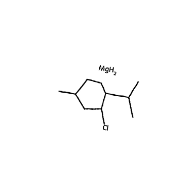 CC1CCC(C(C)C)C(Cl)C1.[MgH2]